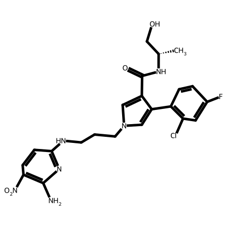 C[C@@H](CO)NC(=O)c1cn(CCCNc2ccc([N+](=O)[O-])c(N)n2)cc1-c1ccc(F)cc1Cl